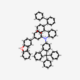 c1ccc(-c2ccccc2-c2ccccc2-c2ccccc2N(c2cccc(-c3ccc4oc5ccccc5c4c3)c2)c2ccc3c(c2)-c2ccccc2C3(c2ccccc2)c2ccccc2)cc1